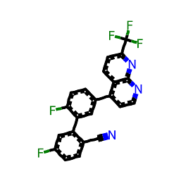 N#Cc1ccc(F)cc1-c1cc(-c2ccnc3nc(C(F)(F)F)ccc23)ccc1F